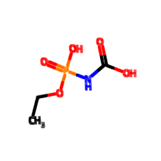 CCOP(=O)(O)NC(=O)O